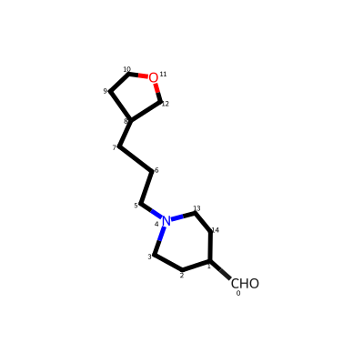 O=CC1CCN(CCCC2CCOC2)CC1